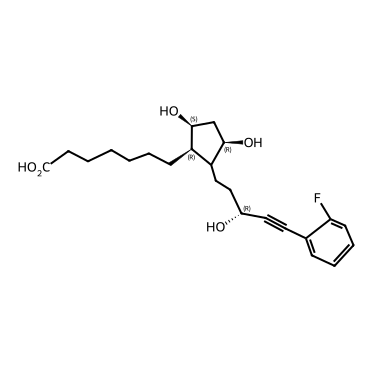 O=C(O)CCCCCC[C@@H]1C(CC[C@@H](O)C#Cc2ccccc2F)[C@H](O)C[C@@H]1O